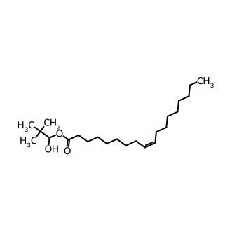 CCCCCCCC/C=C\CCCCCCCC(=O)OC(O)C(C)(C)C